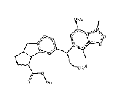 COc1cc(C(CC(=O)O)c2ccc3c(c2)C2C(CCN2C(=O)OC(C)(C)C)C3)c(C)c2nnn(C)c12